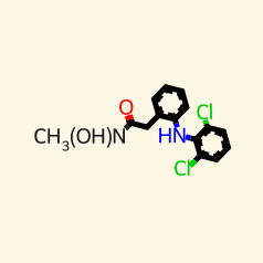 CN(O)C(=O)Cc1ccccc1Nc1c(Cl)cccc1Cl